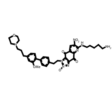 COc1cc(CCCN2CCOCC2)ccc1-c1ccc(CCn2c3c(n[n+]2[O-])C(=O)c2nc(NCCCCCN)c([N+](=O)[O-])cc2C3=O)cc1